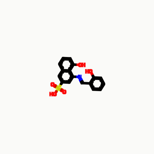 O=S(=O)(O)c1cc(/N=C/c2ccccc2O)c2c(O)cccc2c1